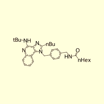 CCCCCCC(=O)NCc1ccc(Cn2c(CCCC)nc3c(NC(C)(C)C)nc4ccccc4c32)cc1